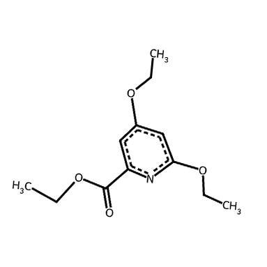 CCOC(=O)c1cc(OCC)cc(OCC)n1